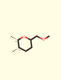 COCC1CC[C@H](C)[C@H](C)O1